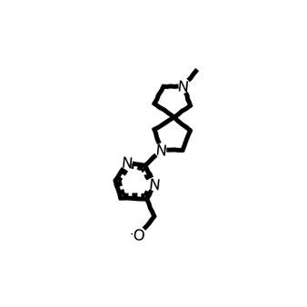 CN1CCC2(CCN(c3nccc(C[O])n3)C2)C1